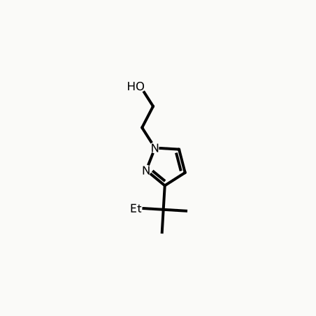 CCC(C)(C)c1ccn(CCO)n1